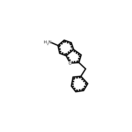 Nc1ccc2cc(Cc3ccccc3)oc2c1